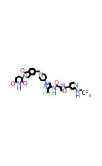 O=C1CCC(N2Cc3cc(CN4CCC(n5cc(NC(=O)c6coc(-c7ccnc(NCC(F)(F)F)c7)n6)c(C(F)F)n5)CC4)ccc3C2=O)C(=O)N1